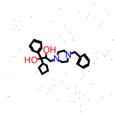 OC(CN1CCN(Cc2ccccc2)CC1)C(O)(c1ccccc1)C1CCCC1